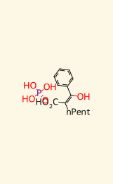 CCCCCC(C(=O)O)=C(O)c1ccccc1.O=P(O)(O)O